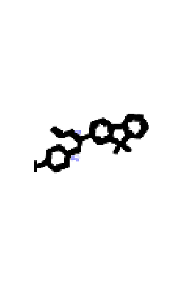 C=C/C=C(\C=C1\C=CC(I)=CC1)c1ccc2c(c1)C(C)(C)c1ccccc1-2